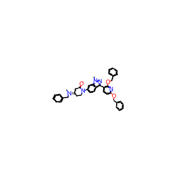 CN(Cc1ccccc1)[C@H]1CCN(c2ccc3c(-c4ccc(OCc5ccccc5)nc4OCc4ccccc4)nn(C)c3c2)C(=O)C1